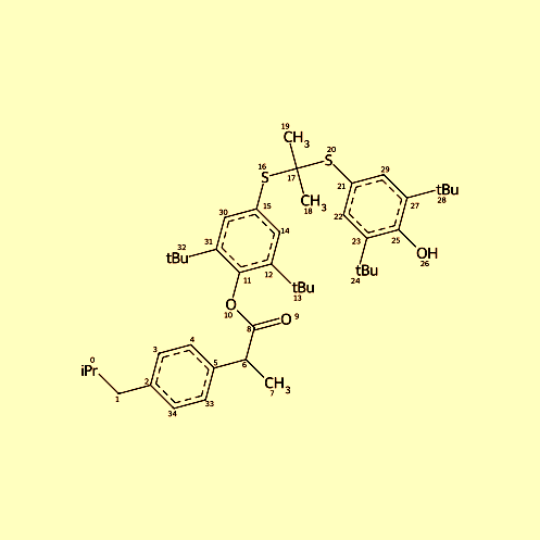 CC(C)Cc1ccc(C(C)C(=O)Oc2c(C(C)(C)C)cc(SC(C)(C)Sc3cc(C(C)(C)C)c(O)c(C(C)(C)C)c3)cc2C(C)(C)C)cc1